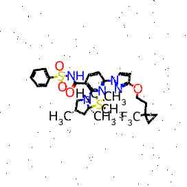 C[C@@H]1CN(c2nc(-n3ccc(OCCC4(C(F)(F)F)CC4)n3)ccc2C(=O)NS(=O)(=O)c2ccccc2)[C@@](C)(S(C)(C)C)C1